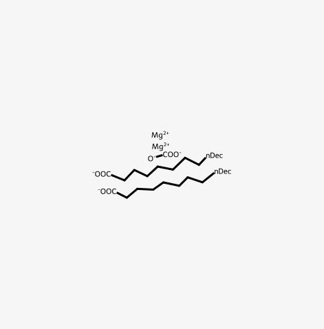 CCCCCCCCCCCCCCCCCC(=O)[O-].CCCCCCCCCCCCCCCCCC(=O)[O-].O=C([O-])[O-].[Mg+2].[Mg+2]